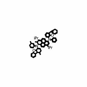 CC1C=C(N(C2=CCC(C)C3C2OC2C=CC=CC23)C2c3ccc4c(C(C)C)cc(N(c5ccccc5)c5cccc6c5OC57C=CCCC5C67)c5ccc(c3c45)=C(C(C)C)C2C)C=CC1